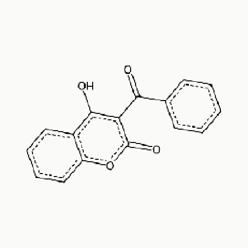 O=C(c1ccccc1)c1c(O)c2ccccc2oc1=O